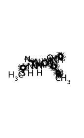 CSc1cccc(CNc2nc(N[C@H]3CCC[C@@H](N(C(=O)NCc4ccccc4)c4ccc(-c5cnn(C)c5)cn4)CC3)ncc2C#N)c1